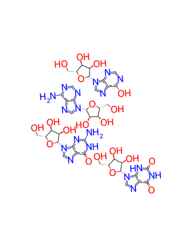 Nc1nc2c(ncn2[C@@H]2O[C@H](CO)[C@@H](O)[C@H]2O)c(=O)[nH]1.Nc1ncnc2c1ncn2[C@@H]1O[C@H](CO)[C@@H](O)[C@H]1O.O=c1[nH]c(=O)c2ncn([C@@H]3O[C@H](CO)[C@@H](O)[C@H]3O)c2[nH]1.OC[C@H]1O[C@@H](n2cnc3c(O)ncnc32)[C@H](O)[C@@H]1O